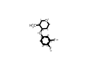 CC1COCCC1Oc1ccc(F)c(F)c1